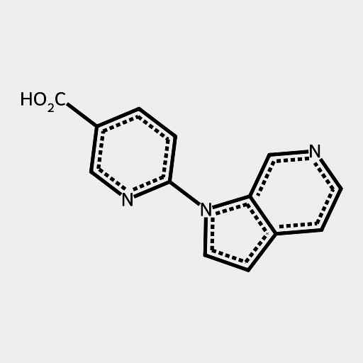 O=C(O)c1ccc(-n2ccc3ccncc32)nc1